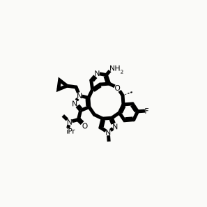 CC(C)N(C)C(=O)c1nn(CC2CC2)c2c1Cc1cn(C)nc1-c1ccc(F)cc1[C@@H](C)Oc1cc-2cnc1N